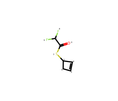 O=C(SC1C=CC1)C(F)F